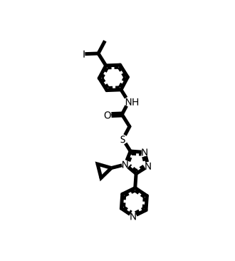 CC(I)c1ccc(NC(=O)CSc2nnc(-c3ccncc3)n2C2CC2)cc1